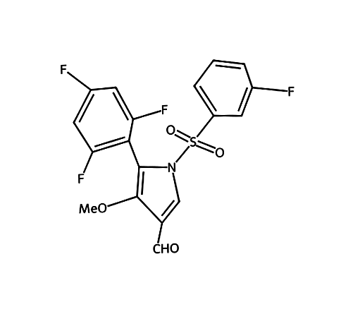 COc1c(C=O)cn(S(=O)(=O)c2cccc(F)c2)c1-c1c(F)cc(F)cc1F